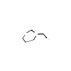 CCCCN1CCCNC1